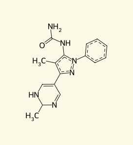 Cc1c(C2=CNC(C)N=C2)nn(-c2ccccc2)c1NC(N)=O